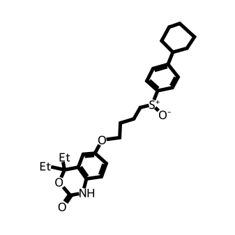 CCC1(CC)OC(=O)Nc2ccc(OCCCC[S+]([O-])c3ccc(C4CCCCC4)cc3)cc21